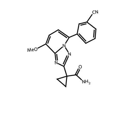 COc1ccc(-c2cccc(C#N)c2)n2nc(C3(C(N)=O)CC3)nc12